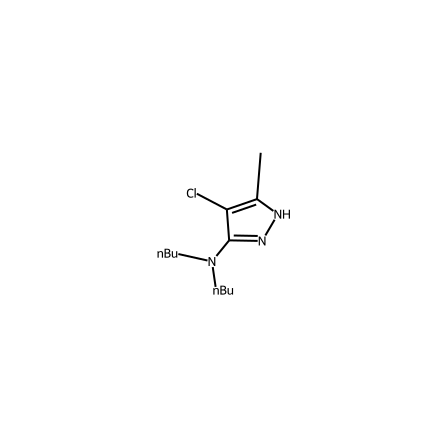 CCCCN(CCCC)c1n[nH]c(C)c1Cl